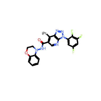 CC(C)c1c(C(=O)NN2CCOc3ccccc32)cnc2c1nnn2-c1cc(F)cc(F)c1F